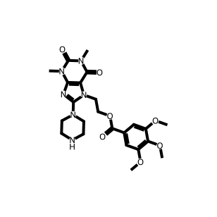 COc1cc(C(=O)OCCn2c(N3CCNCC3)nc3c2c(=O)n(C)c(=O)n3C)cc(OC)c1OC